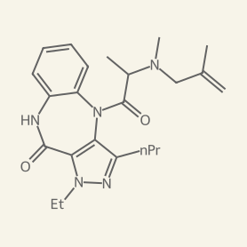 C=C(C)CN(C)C(C)C(=O)N1c2ccccc2NC(=O)c2c1c(CCC)nn2CC